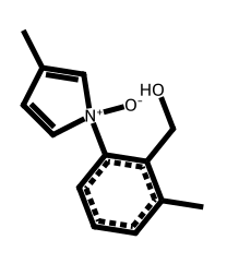 CC1=C[N+]([O-])(c2cccc(C)c2CO)C=C1